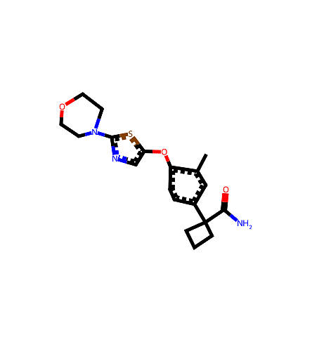 Cc1cc(C2(C(N)=O)CCC2)ccc1Oc1cnc(N2CCOCC2)s1